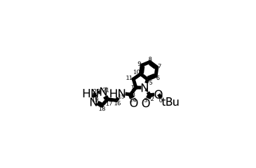 CC(C)(C)OC(=O)N1c2ccccc2CC1C(=O)NCc1cn[nH]n1